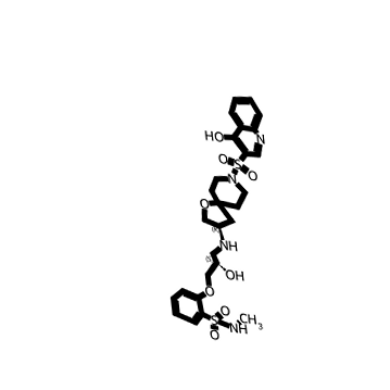 CNS(=O)(=O)c1ccccc1OC[C@@H](O)CN[C@H]1COC2(CCN(S(=O)(=O)c3cnc4ccccc4c3O)CC2)C1